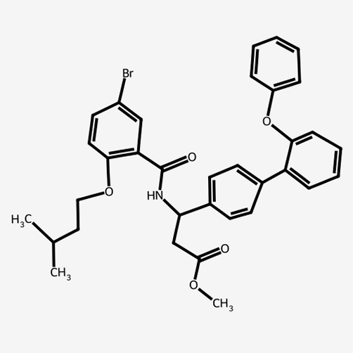 COC(=O)CC(NC(=O)c1cc(Br)ccc1OCCC(C)C)c1ccc(-c2ccccc2Oc2ccccc2)cc1